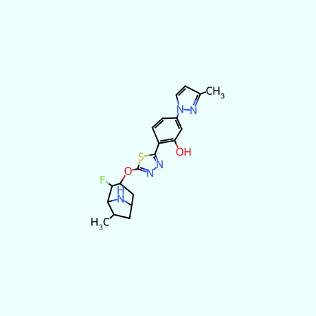 Cc1ccn(-c2ccc(-c3nnc(OC4CC5CC(C)C(N5)C4F)s3)c(O)c2)n1